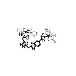 CCC(C)(C)NC(=O)Cc1nnc(Cc2nc3ccc(-c4csc(C(C)(C)O)n4)cc3s2)o1